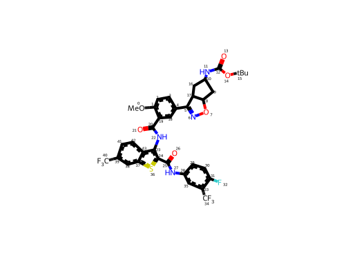 COc1ccc(C2=NOC3CC(NC(=O)OC(C)(C)C)CC23)cc1C(=O)Nc1c(C(=O)Nc2ccc(F)c(C(F)(F)F)c2)sc2cc(C(F)(F)F)ccc12